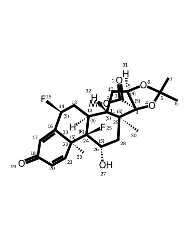 COC(=O)[C@@]12OC(C)(C)O[C@@H]1C[C@H]1[C@@H]3C[C@H](F)C4=CC(=O)C=C[C@]4(C)[C@@]3(F)[C@@H](O)C[C@@]12C